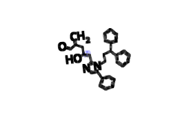 C=C(C=O)C/C(O)=C/c1ncc(-c2ccccc2)n1CCC(c1ccccc1)c1ccccc1